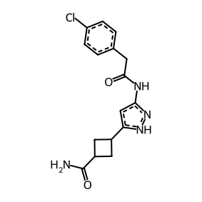 NC(=O)C1CC(c2cc(NC(=O)Cc3ccc(Cl)cc3)n[nH]2)C1